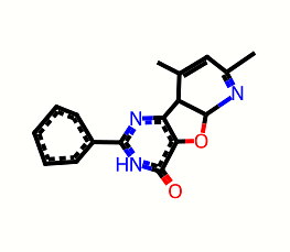 CC1=CC(C)=NC2Oc3c(nc(-c4ccccc4)[nH]c3=O)C12